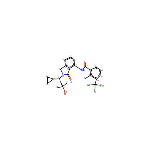 Cc1c(C(=O)Nc2cccc3c2C(=O)N([C@H](C2CC2)C(C)(C)O)C3)cccc1C(F)(F)F